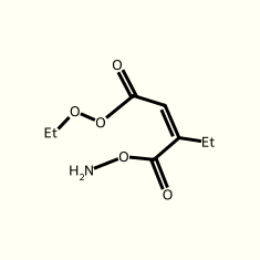 CCOOC(=O)/C=C(/CC)C(=O)ON